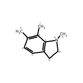 Cc1ccc2c(c1C)N(C)CC2